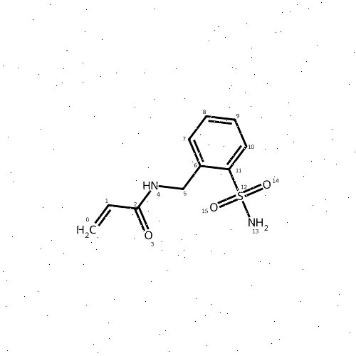 C=CC(=O)NCc1ccccc1S(N)(=O)=O